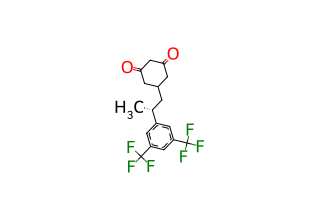 C[C@H](CC1CC(=O)CC(=O)C1)c1cc(C(F)(F)F)cc(C(F)(F)F)c1